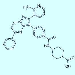 Nc1ncccc1-c1nc2ccc(-c3ccccc3)nc2n1-c1ccc(C(=O)NC2CCC(C(=O)O)CC2)cc1